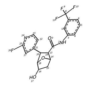 O=C(Nc1cccc(C(F)(F)F)c1)C1C2CC(O)C(O2)C1c1ccnc(F)c1